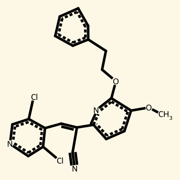 COc1ccc(C(C#N)=Cc2c(Cl)cncc2Cl)nc1OCCc1ccccc1